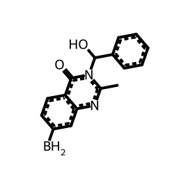 Bc1ccc2c(=O)n(C(O)c3ccccc3)c(C)nc2c1